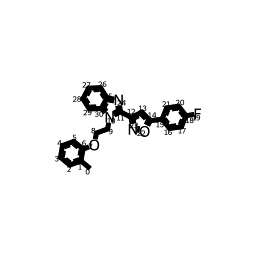 Cc1ccccc1OCCn1c(-c2cc(-c3ccc(F)cc3)on2)nc2ccccc21